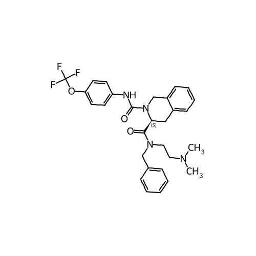 CN(C)CCN(Cc1ccccc1)C(=O)[C@@H]1Cc2ccccc2CN1C(=O)Nc1ccc(OC(F)(F)F)cc1